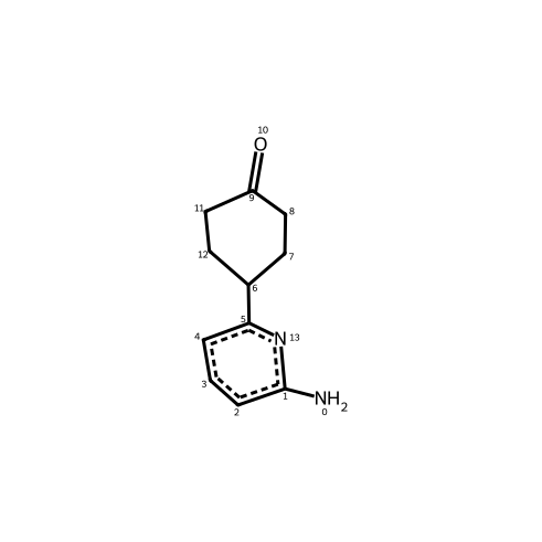 Nc1cccc(C2CCC(=O)CC2)n1